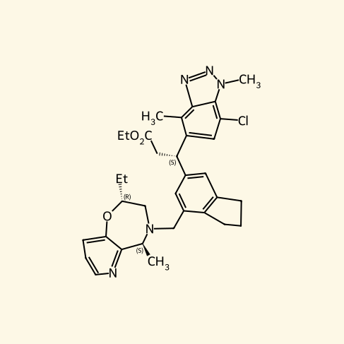 CCOC(=O)C[C@@H](c1cc2c(c(CN3C[C@@H](CC)Oc4cccnc4[C@@H]3C)c1)CCC2)c1cc(Cl)c2c(nnn2C)c1C